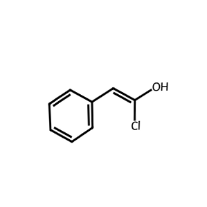 OC(Cl)=Cc1ccccc1